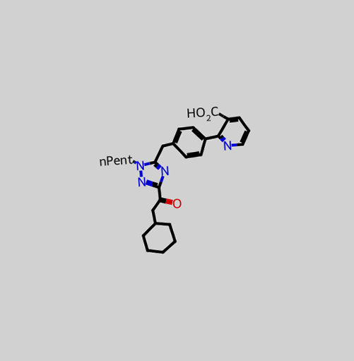 CCCCCn1nc(C(=O)CC2CCCCC2)nc1Cc1ccc(-c2ncccc2C(=O)O)cc1